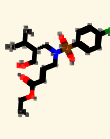 CCOC(=O)C=CCN(C[C@H](CO)C(C)C)S(=O)(=O)c1ccc(Cl)cc1